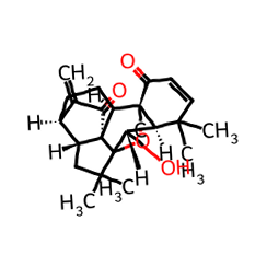 C=C1C(=O)[C@@]23[C@@H]4CC(C)(C)C25OC[C@]2(C(=O)C=CC(C)(C)[C@H]2[C@@H]5O)[C@@H]3CC[C@@H]14